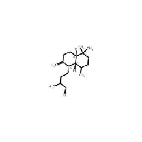 C=C1CC[C@H]2[C@H](C(C)CCC2(C)C)[C@@H]1CCC(C)C=O